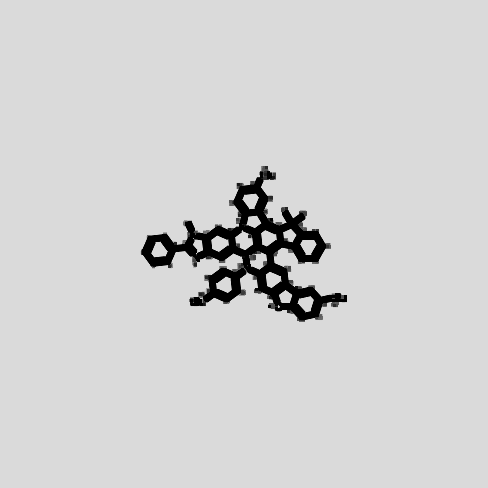 Cn1c(-c2ccccc2)nc2cc3c(cc21)-n1c2ccc(C(C)(C)C)cc2c2c4c(c5c(c21)B3N(c1ccc(C(C)(C)C)cc1)c1cc2oc3ccc(C(C)(C)C)cc3c2cc1-5)-c1ccccc1C4(C)C